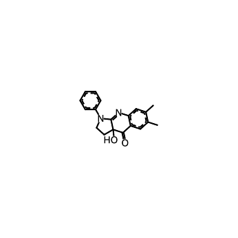 Cc1cc2c(cc1C)C(=O)C1(O)CCN(c3ccccc3)C1=N2